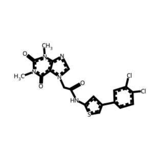 Cn1c(=O)c2c(ncn2CC(=O)Nc2cc(-c3ccc(Cl)c(Cl)c3)cs2)n(C)c1=O